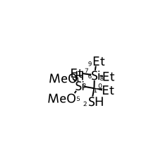 CC[C@@](S)([SiH](OC)OC)[Si](CC)(CC)CC